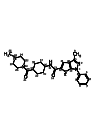 Cc1nn(-c2ccccc2)c2sc(C(=O)NC3CCC(C(=O)N4CCN(C)CC4)CC3)cc12